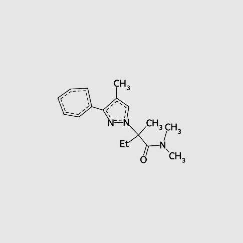 CCC(C)(C(=O)N(C)C)n1cc(C)c(-c2ccccc2)n1